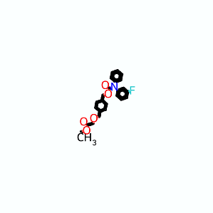 CCOC(=O)COCC1CCC(COC(=O)N(c2ccccc2)c2cccc(F)c2)CC1